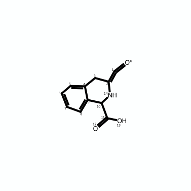 O=C=C1Cc2ccccc2C(C(=O)O)N1